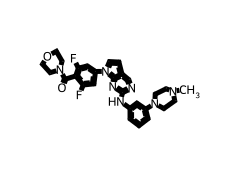 CN1CCN(c2cccc(Nc3ncc4ccn(-c5cc(F)c(C(=O)N6CCOCC6)c(F)c5)c4n3)c2)CC1